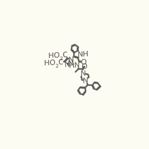 CC(NC(=O)c1[nH]c2ccccc2c1-n1nnc(C(=O)O)c1C(=O)O)C(=O)N1CCN(C(c2ccccc2)c2ccccc2)CC1